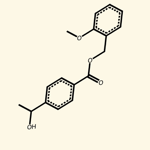 COc1ccccc1COC(=O)c1ccc(C(C)O)cc1